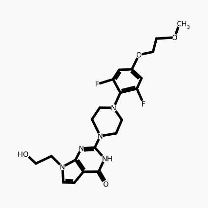 COCCOc1cc(F)c(N2CCN(c3nc4c(ccn4CCO)c(=O)[nH]3)CC2)c(F)c1